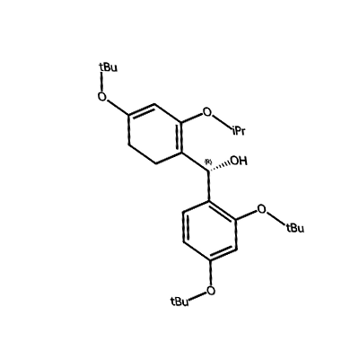 CC(C)OC1=C([C@H](O)c2ccc(OC(C)(C)C)cc2OC(C)(C)C)CCC(OC(C)(C)C)=C1